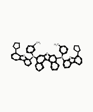 Cc1cccc(N(c2cc3oc4cc(N(c5cccc(C)c5)c5cccc6c5oc5c(C7CCCC7)cccc56)c5ccccc5c4c3c3ccccc23)c2cccc3c2oc2c(C4CCCC4)cccc23)c1